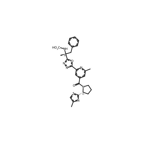 Cc1cc(C(=O)N2CCC[C@@H]2c2nc(C)cs2)cc(-c2nnc([C@@](C)(Cc3ccccc3)NC(=O)O)o2)n1